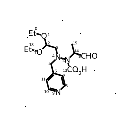 CCOC(CN(Cc1ccncc1)N(C(=O)O)C(C)C=O)OCC